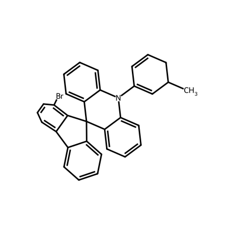 CC1C=C(N2c3ccccc3C3(c4ccccc4-c4cccc(Br)c43)c3ccccc32)C=CC1